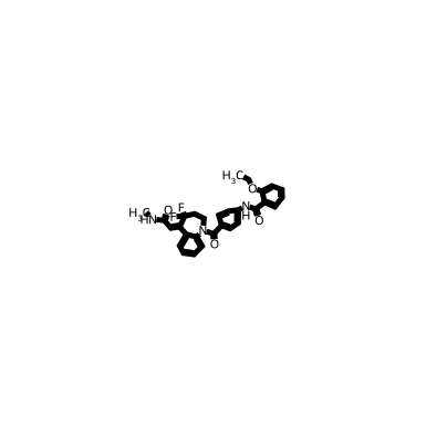 CCOc1ccccc1C(=O)Nc1ccc(C(=O)N2CCC(F)(F)C(=CC(=O)NC)c3ccccc32)cc1